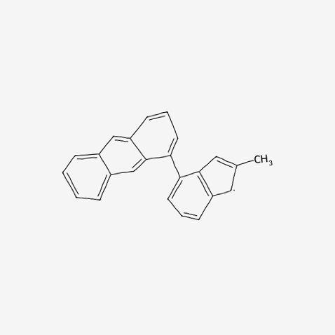 CC1=Cc2c(cccc2-c2cccc3cc4ccccc4cc23)[CH]1